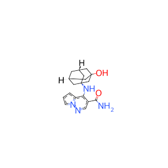 NC(=O)c1cnn2cccc2c1N[C@@]12C[C@@H]3C[C@@H](CC(O)(C3)C1)C2